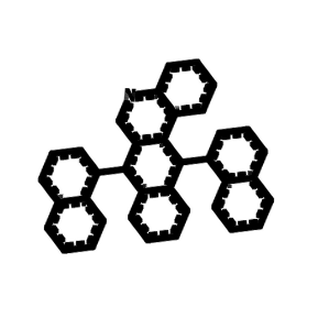 c1ccc2c(-c3c4ccccc4c(-c4cccc5ccccc45)c4c3cnc3ccccc34)cccc2c1